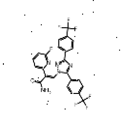 NC(=O)/C(=C/n1nc(-c2ccc(C(F)(F)F)cc2)nc1-c1ccc(C(F)(F)F)cc1)c1cccc(F)n1